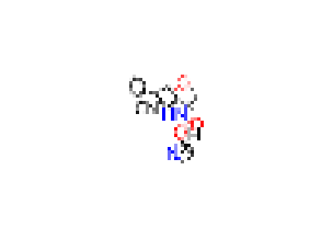 CC1(NC(=O)O[C@H]2CN3CCC2CC3)CCOc2cc(-c3ccccc3C#N)ccc21